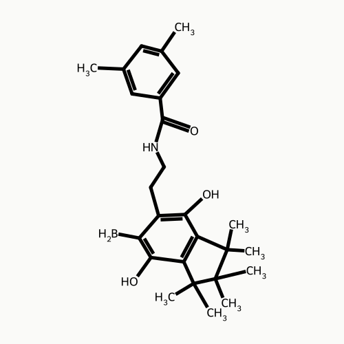 Bc1c(O)c2c(c(O)c1CCNC(=O)c1cc(C)cc(C)c1)C(C)(C)C(C)(C)C2(C)C